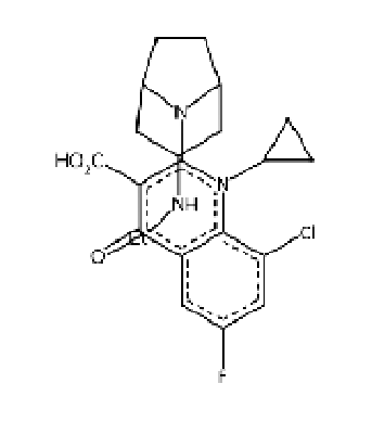 CCNC1CC2CCC(C1)N2c1c(C(=O)O)c(=O)c2cc(F)cc(Cl)c2n1C1CC1